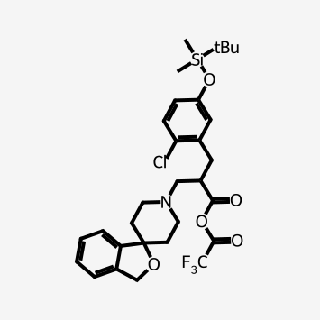 CC(C)(C)[Si](C)(C)Oc1ccc(Cl)c(CC(CN2CCC3(CC2)OCc2ccccc23)C(=O)OC(=O)C(F)(F)F)c1